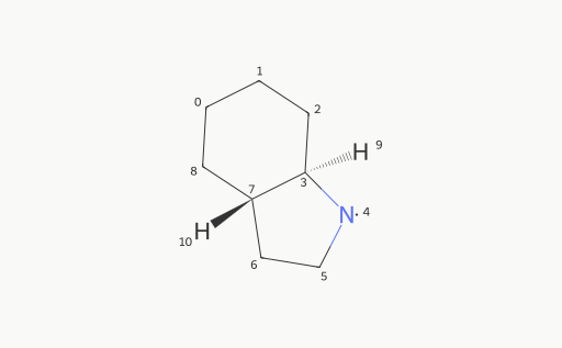 C1CC[C@H]2[N]CC[C@@H]2C1